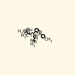 Cc1ccc(-c2nc3cccc(C(CC[C@H](C)O[Si](C)(C)C(C)(C)C)n4cnc(C(N)=O)c4)c3o2)cc1